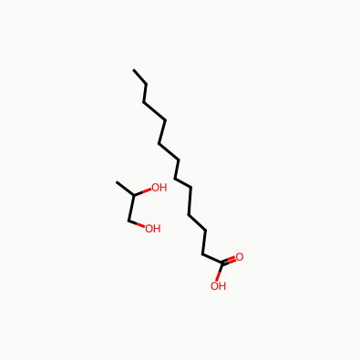 CC(O)CO.CCCCCCCCCCCC(=O)O